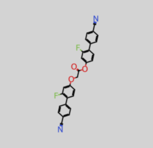 N#Cc1ccc(-c2ccc(OCC(=O)Oc3ccc(-c4ccc(C#N)cc4)c(F)c3)cc2F)cc1